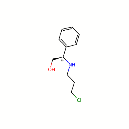 OC[C@H](NCCCCl)c1ccccc1